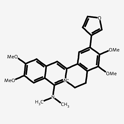 COc1cc2cc3[n+](c(N(C)C)c2cc1OC)CCc1c-3cc(-c2ccoc2)c(OC)c1OC